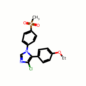 CCOc1ccc(-c2c(Cl)ncn2-c2ccc(S(C)(=O)=O)cc2)cc1